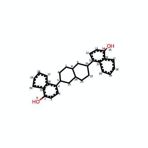 Oc1ccc(C2CCC3CC(c4ccc(O)c5ccccc45)CCC3C2)c2ccccc12